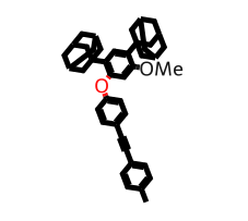 COc1cc(Oc2ccc(C#Cc3ccc(C)cc3)cc2)c(C23CC4CC(CC(C4)C2)C3)cc1C12CC3CC(CC(C3)C1)C2